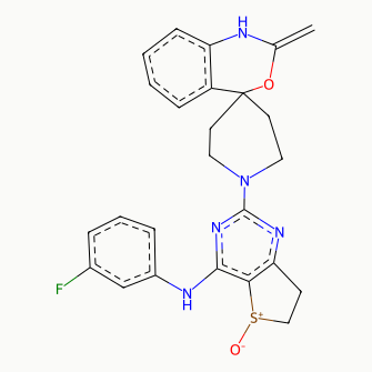 C=C1Nc2ccccc2C2(CCN(c3nc4c(c(Nc5cccc(F)c5)n3)[S+]([O-])CC4)CC2)O1